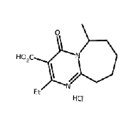 CCc1nc2n(c(=O)c1C(=O)O)C(C)CCCC2.Cl